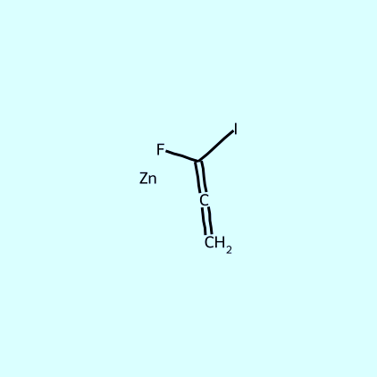 C=C=C(F)I.[Zn]